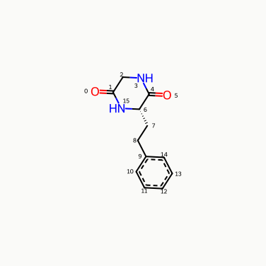 O=C1CNC(=O)[C@H](CCc2ccccc2)N1